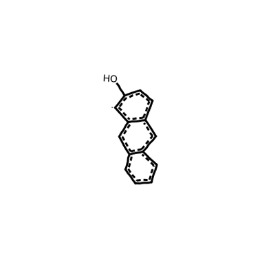 Oc1[c]c2cc3ccccc3cc2cc1